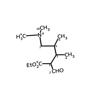 CCOC(=O)C(C=O)C(C)C(C)CN(C)C